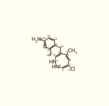 Cc1cc(Cl)c[nH][nH]cc1Cc1ccc(N)nc1F